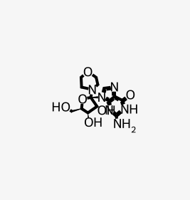 Nc1nc2c(ncn2[C@]2(N3CCOCC3)O[C@H](CO)[C@@H](O)[C@H]2O)c(=O)[nH]1